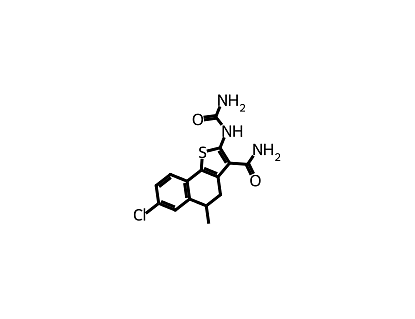 CC1Cc2c(sc(NC(N)=O)c2C(N)=O)-c2ccc(Cl)cc21